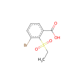 CCS(=O)(=O)c1c(Br)cccc1C(=O)O